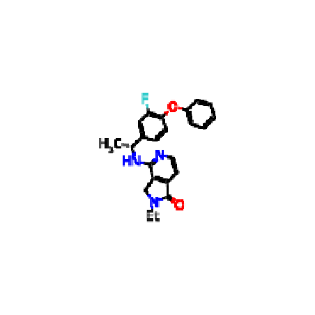 CCN1Cc2c(ccnc2N[C@H](C)c2ccc(Oc3ccccc3)c(F)c2)C1=O